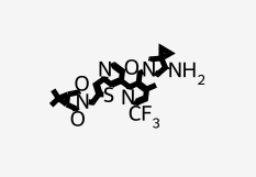 Cc1cc(C(F)(F)F)nc(-c2ccnc3cc(CN4C(=O)C5C(C4=O)C5(C)C)sc23)c1C(=O)N1C[C@@H](N)C2(CC2)C1